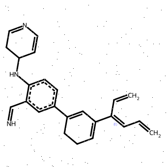 C=C/C=C(\C=C)C1=CCCC(c2ccc(NC3C=CN=CC3)c(C=N)c2)=C1